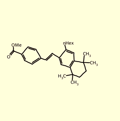 CCCCCCc1cc2c(cc1C=Cc1ccc(C(=O)OC)cc1)C(C)(C)CCC2(C)C